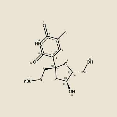 CCCCSC[C@]1(n2cc(C)c(=O)[nH]c2=O)C[C@H](O)[C@@H](CO)O1